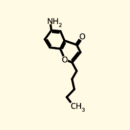 CCCCCc1cc(=O)c2cc(N)ccc2o1